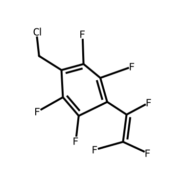 FC(F)=C(F)c1c(F)c(F)c(CCl)c(F)c1F